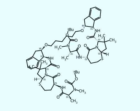 C[C@@H](C(=O)N[C@H]1CCS[C@H]2CC(C)(C)[C@@H](C(=O)N[C@H]3c4ccccc4C[C@H]3OCCCCCCO[C@@H]3Cc4ccccc4[C@@H]3NC(=O)[C@H]3N4C(=O)[C@@H](NC(=O)[C@H](C)N(C)C(=O)OC(C)(C)C)CCS[C@H]4CC3(C)C)N2C1=O)N(C)C(=O)OC(C)(C)C